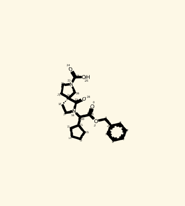 O=C(OCc1ccccc1)C(C1CCCC1)N1CC[C@@]2(CCN(C(=O)O)C2)C1=O